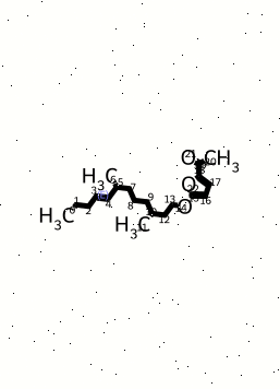 CCC/C=C/C(C)CCCC(C)CCOc1ccc(C(C)=O)o1